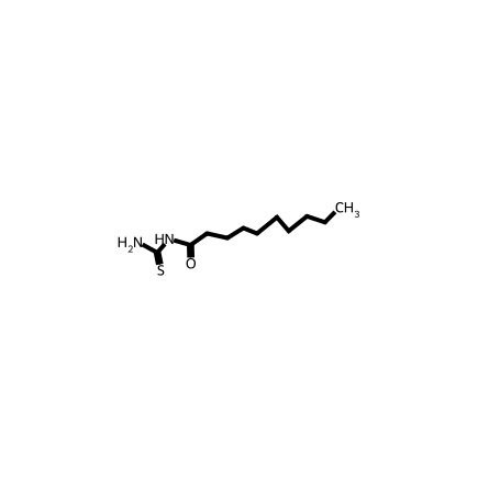 CCCCCCCCCC(=O)NC(N)=S